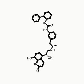 C[C@H](Cc1cccc(NC(=O)Nc2ccccc2-c2ccccc2)c1)NC[C@H](O)c1ccc(O)c2[nH]c(=O)ccc12